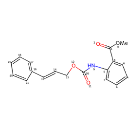 COC(=O)c1ccccc1NC(=O)OC/C=C/c1ccccc1